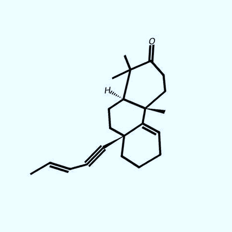 CC=CC#C[C@]12CCCC=C1[C@@]1(C)CCC(=O)C(C)(C)[C@@H]1CC2